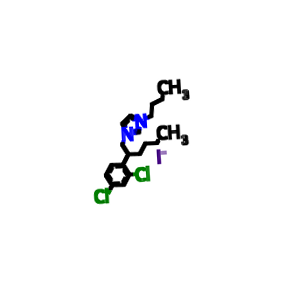 CCCCC(C[n+]1ccn(CCCC)c1)c1ccc(Cl)cc1Cl.[I-]